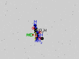 Cl.Cl.Nc1nc(C(=NOC2CCCC2)C(=O)N[C@@H]2C(=O)N3C(C(=O)O)=C(C=C4CCN(C5CNC5)C4=O)CS[C@H]23)cs1